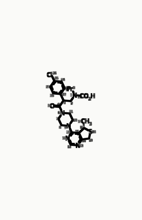 CC(C)N(CC(C(=O)N1CCN(c2ncnc3c2[C@H](C)SC3)CC1)c1ccc(Cl)cc1)C(=O)O